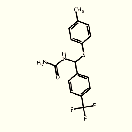 Cc1ccc(SC(NC(N)=O)c2ccc(C(F)(F)F)cc2)cc1